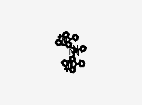 CC1(C)c2cccc3c2-n2c4c(cc(-c5nc(-c6ccccc6)nc(-c6cc7c8c(c6)c6cccc9c6n8-c6c(cccc6C9(C)C)C7c6ccccc6)n5)cc4c4cccc1c42)C3c1ccccc1